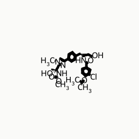 COC(=O)N[C@@H](CO)c1nc(-c2ccc(C[C@@H](CCO)NC(=O)c3ccc(OC(C)C)c(Cl)c3)cc2)cn1C